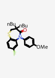 CCCCC1(CCCC)CSc2ccc(F)cc2N(c2ccc(OC)cc2)C1=O